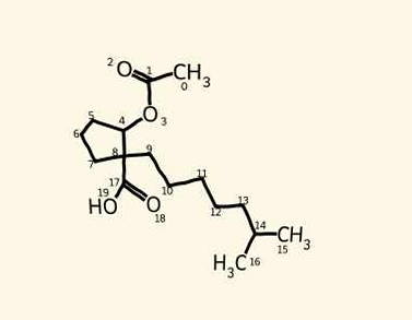 CC(=O)OC1CCCC1(CCCCCC(C)C)C(=O)O